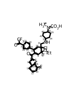 CCOC1(F)C=C(C(=O)c2cc3cccc(F)c3s2)C(c2ccc(C(=O)C(F)(F)F)cc2)=CC1(Cl)CNC1CCC(N(C)C(=O)O)CC1